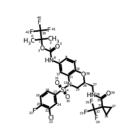 CC(C)(OC(=O)Nc1ccc2c(c1)N(S(=O)(=O)c1ccc(F)c(Cl)c1)C[C@H](CNC(=O)C1(C(F)(F)F)CC1)O2)C(F)(F)F